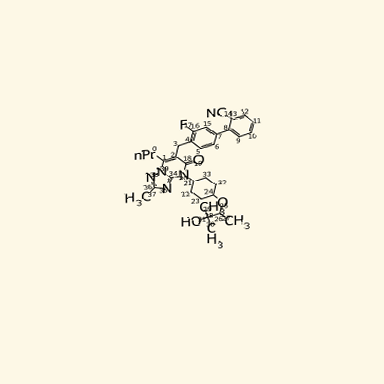 CCCc1c(Cc2ccc(-c3ccccc3C#N)cc2F)c(=O)n(C2CCC(OC(C)C(C)(C)O)CC2)c2nc(C)nn12